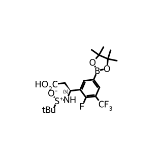 CC(C)(C)[S+]([O-])N[C@@H](CC(=O)O)c1cc(B2OC(C)(C)C(C)(C)O2)cc(C(F)(F)F)c1F